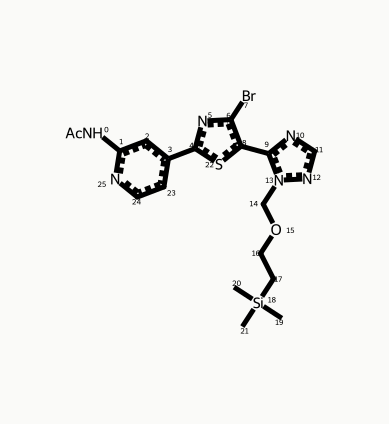 CC(=O)Nc1cc(-c2nc(Br)c(-c3ncnn3COCC[Si](C)(C)C)s2)ccn1